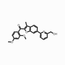 COc1ccc(C(=O)c2oc3cc(-c4cccc(CO)n4)ccc3c2C)c(OC)c1